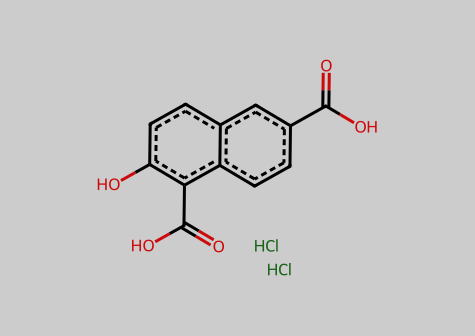 Cl.Cl.O=C(O)c1ccc2c(C(=O)O)c(O)ccc2c1